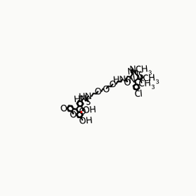 Cc1sc2c(c1C)C(c1ccc(Cl)cc1)=NC(CC(=O)NCCCOCCOCCOCCCNC(=S)Nc1ccc(-c3c4ccc(=O)cc-4oc4cc(O)ccc34)c(C(=O)O)c1)c1nnc(C)n1-2